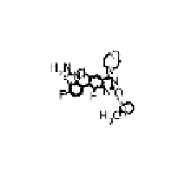 CN1CCC[C@H]1COc1nc(N2CCCOCC2)c2cc(Cl)c(-c3ccc(F)c4sc(N)nc34)c(F)c2n1